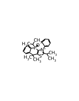 CC(C)c1sc2c([n+]1-c1ccccc1)P(=O)(C(C)C)c1ccccc1C2(C)C